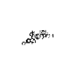 C[C@@H]1C[C@@](C)(O)c2ncnc(N3CCN(C(=O)C(c4ccc(Cl)cc4F)C4CCC(C)(C)N4)CC3)c21